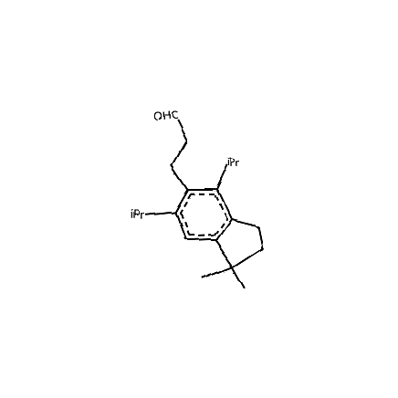 CC(C)c1cc2c(c(C(C)C)c1CCC=O)CCC2(C)C